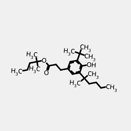 CCCCC(C)(C)c1cc(CCC(=O)OC(C)(C)CCC)cc(C(C)(C)C)c1O